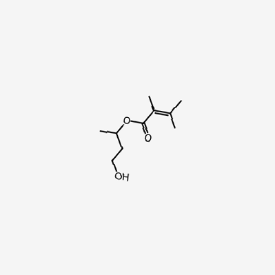 CC(C)=C(C)C(=O)OC(C)CCO